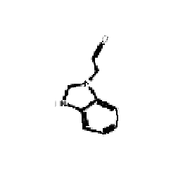 O=CCN1CNc2ccccc21